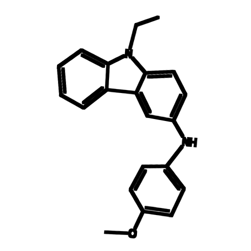 CCn1c2ccccc2c2cc(Nc3ccc(OC)cc3)ccc21